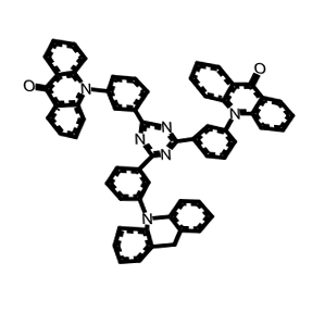 O=c1c2ccccc2n(-c2cccc(-c3nc(-c4cccc(N5c6ccccc6Cc6ccccc65)c4)nc(-c4cccc(-n5c6ccccc6c(=O)c6ccccc65)c4)n3)c2)c2ccccc12